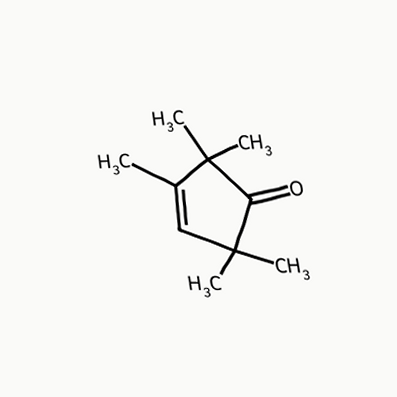 CC1=CC(C)(C)C(=O)C1(C)C